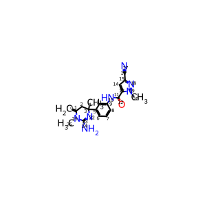 C=C1CC(C)(c2cccc(NC(=O)c3cc(C#N)nn3C)c2)N=C(N)N1C